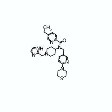 C=Cc1ccc(C(=O)N(Cc2ccc(N3CCSCC3)nc2)C2CCN(Cc3ncc[nH]3)CC2)nc1